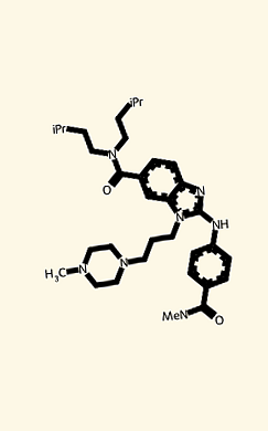 CNC(=O)c1ccc(Nc2nc3ccc(C(=O)N(CCC(C)C)CCC(C)C)cc3n2CCCN2CCN(C)CC2)cc1